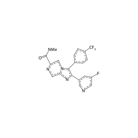 CNC(=O)c1cn2c(-c3ccc(C(F)(F)F)cc3)c(-c3cncc(F)c3)nc2cn1